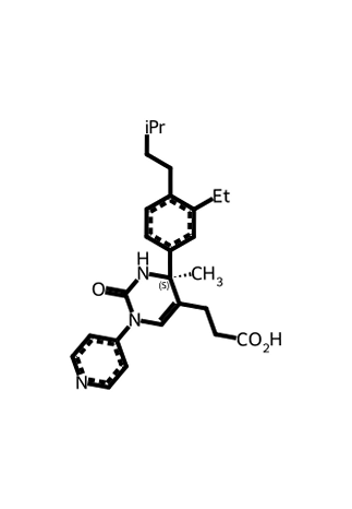 CCc1cc([C@]2(C)NC(=O)N(c3ccncc3)C=C2CCC(=O)O)ccc1CCC(C)C